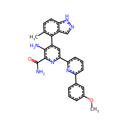 COc1cccc(-c2cccc(-c3cc(-c4c(C)ccc5[nH]ncc45)c(N)c(C(N)=O)n3)n2)c1